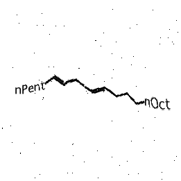 C[CH]CCCCCCCCCC=CCC=CCCCCC